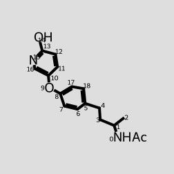 CC(=O)NC(C)CCc1ccc(Oc2ccc(O)nc2)cc1